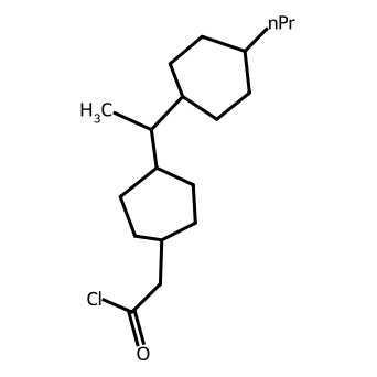 CCCC1CCC(C(C)C2CCC(CC(=O)Cl)CC2)CC1